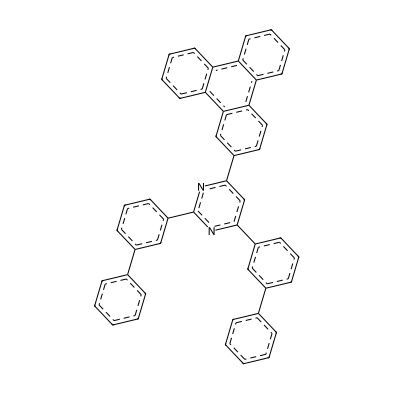 c1ccc(-c2cccc(-c3cc(-c4ccc5c6ccccc6c6ccccc6c5c4)nc(-c4cccc(-c5ccccc5)c4)n3)c2)cc1